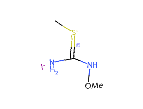 CON/C(N)=[S+]/C.[I-]